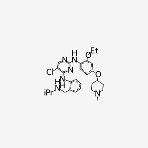 CCOc1cc(OC2CCN(C)CC2)ccc1Nc1ncc(Cl)c(Nc2ccccc2CNC(C)C)n1